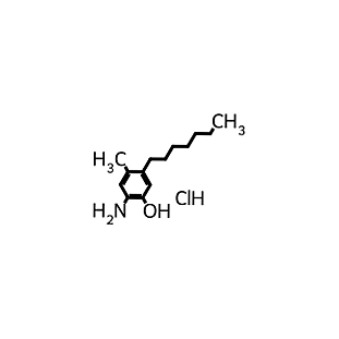 CCCCCCCc1cc(O)c(N)cc1C.Cl